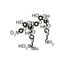 CC(C)(C)N(CCCN1CCC(NC(=O)c2cc(-c3c(O)cc(O)cc3Oc3ccc([N+](=O)[O-])cc3)on2)CC1)C(=O)O.NCCCCN1CCC(NC(=O)c2cc(-c3c(O)cc(O)cc3Oc3ccc([N+](=O)[O-])cc3)on2)CC1